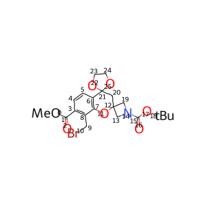 COC(=O)c1ccc2c(c1CBr)OC1(CN(C(=O)OC(C)(C)C)C1)CC21OCCO1